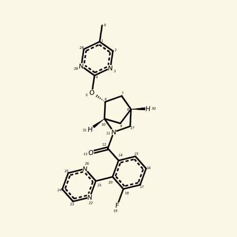 Cc1cnc(O[C@@H]2C[C@H]3C[C@@H]2N(C(=O)c2cccc(F)c2-c2ncccn2)C3)nc1